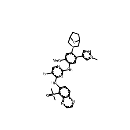 COc1cc(N2CC3CCC(C2)O3)c(-c2cnn(C)c2)cc1Nc1ncc(Br)c(Nc2ccc3nccnc3c2P(C)(C)=O)n1